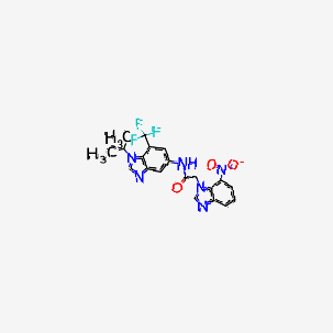 CC(C)n1cnc2cc(NC(=O)Cn3cnc4cccc([N+](=O)[O-])c43)cc(C(F)(F)F)c21